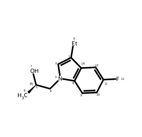 CCc1cn(C[C@@H](C)O)c2ccc(F)cc12